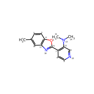 Cc1ccc2oc(-c3ccncc3N(C)C)nc2c1